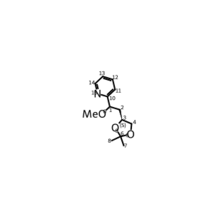 COC(C[C@H]1COC(C)(C)O1)c1ccccn1